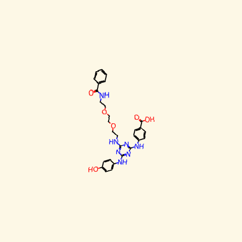 O=C(O)c1ccc(Nc2nc(NCCOCCOCCNC(=O)c3ccccc3)nc(Nc3ccc(O)cc3)n2)cc1